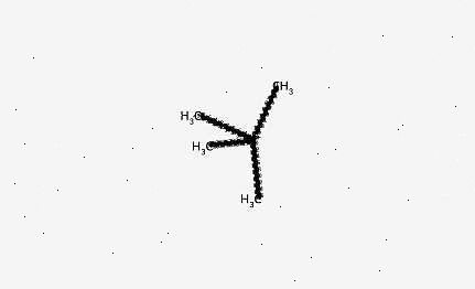 CCCCCCCCCCCCCCCCCC[N+](CCCCCCCCCCCCC)(CCCCCCCCCCCCCCCCCC)CCCCCCCCCCCCCCCCCC